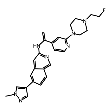 C=C(Nc1cc2cc(-c3cnn(C)c3)ccc2cn1)c1ccnc(N2CCN(CCF)CC2)c1